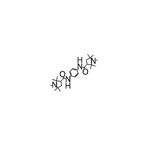 CN1C(C)(C)CC(C(=O)Nc2ccc(NC(=O)C3CC(C)(C)N(C)C3(C)C)cc2)C1(C)C